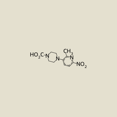 Cc1nc([N+](=O)[O-])ccc1N1CCN(C(=O)O)CC1